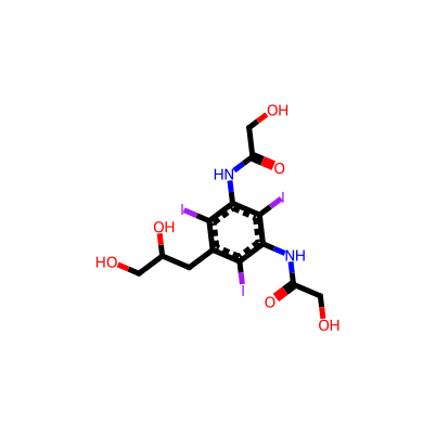 O=C(CO)Nc1c(I)c(CC(O)CO)c(I)c(NC(=O)CO)c1I